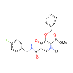 CCn1cc(C(=O)NCc2ccc(F)cc2)c(=O)c(OCc2ccccc2)c1C(=O)OC